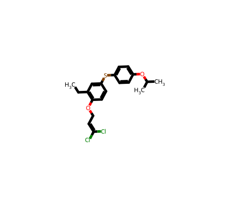 CCc1cc(Sc2ccc(OC(C)C)cc2)ccc1OCC=C(Cl)Cl